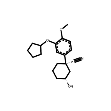 COc1ccc([C@]2(C#N)CCC[C@@H](O)C2)cc1OC1CCCC1